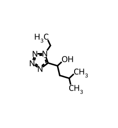 CCn1nnnc1C(O)CC(C)C